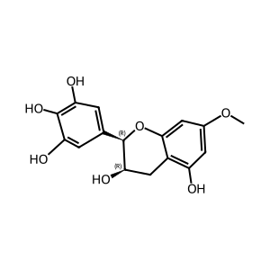 COc1cc(O)c2c(c1)O[C@H](c1cc(O)c(O)c(O)c1)[C@H](O)C2